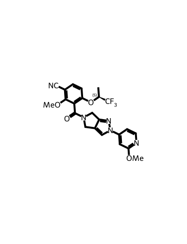 COc1cc(-n2cc3c(n2)CN(C(=O)c2c(O[C@@H](C)C(F)(F)F)ccc(C#N)c2OC)C3)ccn1